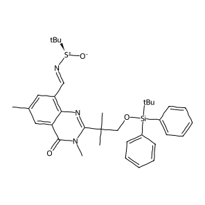 Cc1cc(C=N[S@+]([O-])C(C)(C)C)c2nc(C(C)(C)CO[Si](c3ccccc3)(c3ccccc3)C(C)(C)C)n(C)c(=O)c2c1